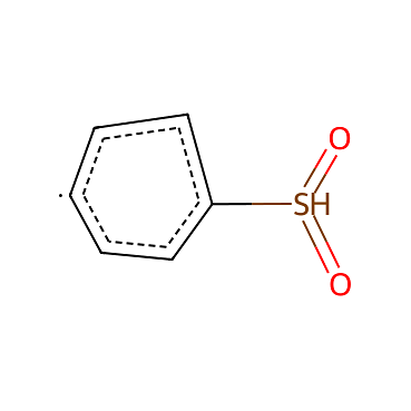 O=[SH](=O)c1cc[c]cc1